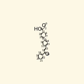 COCC(O)c1ccc(-c2ccc(C=CC(=O)c3ccccc3)cc2)cc1